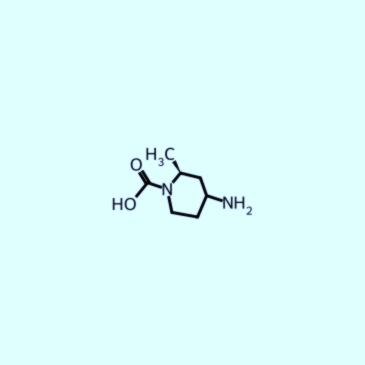 C[C@H]1CC(N)CCN1C(=O)O